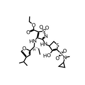 CCOC(=O)C1=C(N[C@H](CC)c2cc(C(C)C)co2)C(NC2CSC(S(=O)(=O)N(C)C3CC3)=C2O)=NS1(=O)=O